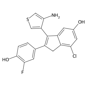 Nc1cscc1C1=C(c2ccc(O)c(F)c2)Cc2c(Cl)cc(O)cc21